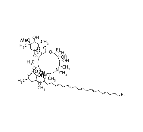 CCC=CCC=CCC=CCC=CCC=CCC=CCCC(=O)N(C)[C@H]1C[C@@H](C)O[C@@H](O[C@@H]2[C@@H](C)[C@H](O[C@H]3C[C@@](C)(OC)[C@@H](O)[C@H](C)O3)[C@@H](C)C(=O)O[C@H](CC)[C@@](C)(O)[C@H](O)[C@@H](C)N(C)C[C@H](C)C[C@@]2(C)O)[C@@H]1O